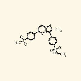 CNS(=O)(=O)c1ccc(-c2c(C)nc3ccc(-c4ccc(S(C)(=O)=O)cc4)nn23)cc1